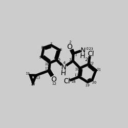 NC(=O)C(Nc1ccccc1C(=O)C1CC1)c1c(Cl)cccc1Cl